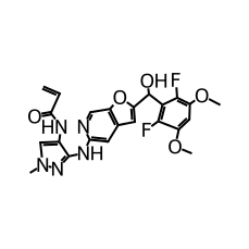 C=CC(=O)Nc1cn(C)nc1Nc1cc2cc(C(O)c3c(F)c(OC)cc(OC)c3F)oc2cn1